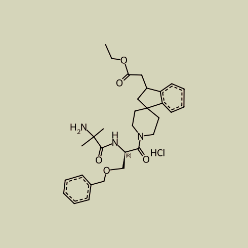 CCOC(=O)CC1CC2(CCN(C(=O)[C@@H](COCc3ccccc3)NC(=O)C(C)(C)N)CC2)c2ccccc21.Cl